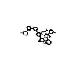 CC(C)=C/C=C\CC1=NC(C2=c3c4c(sc3=CCC=C2)C2=CC2C(c2ccc(C3=CC=CC(c5cccc(C6=C[C@@H](C)CCC6)c5)C3)cc2)=C4)N(C)C(C2=CC=C[C@@H](C)C2)=C1